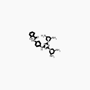 N[C@@H]1C[C@H](N)CN(c2nc(Nc3ccc(NC(=O)c4ccccc4O)cc3)nc(N3C[C@H](N)C[C@H](N)C3)n2)C1